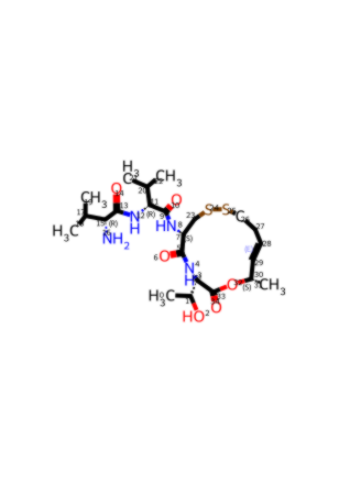 CC(O)[C@@H]1NC(=O)[C@H](NC(=O)[C@H](NC(=O)[C@H](N)C(C)C)C(C)C)CSSCC/C=C/[C@H](C)OC1=O